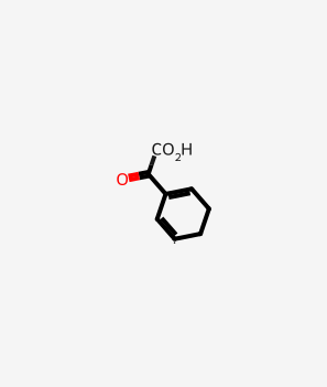 O=C(O)C(=O)C1=CCC[C]=C1